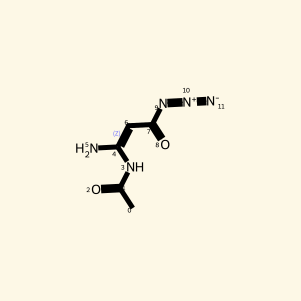 CC(=O)N/C(N)=C\C(=O)N=[N+]=[N-]